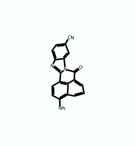 CCCc1ccc2c3c1cccc3c(=O)n1c3cc(C#N)ccc3nc21